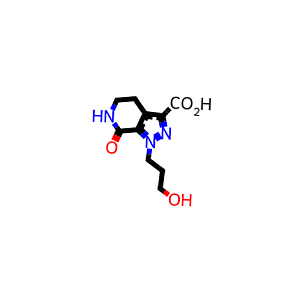 O=C(O)c1nn(CCCO)c2c1CCNC2=O